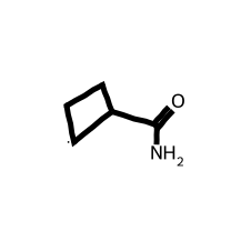 NC(=O)C1[CH]CC1